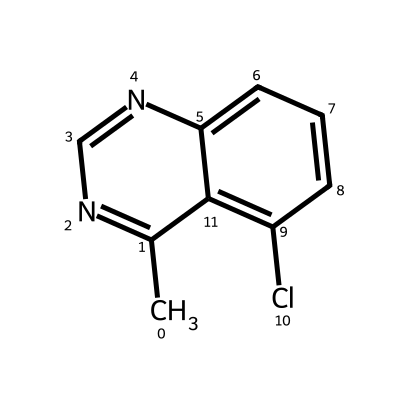 Cc1ncnc2cccc(Cl)c12